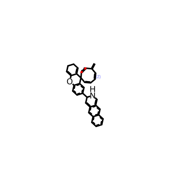 C=C1/C=C\C=CC2(C3=CCCC=C3Oc3ccc(C4C=c5cc6ccccc6cc5=CN4)cc32)c2ccccc21